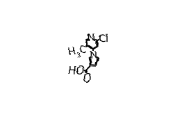 Cc1cnc(Cl)cc1-n1ccc(C(=O)O)c1